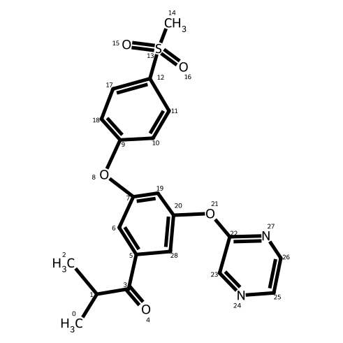 CC(C)C(=O)c1cc(Oc2ccc(S(C)(=O)=O)cc2)cc(Oc2cnccn2)c1